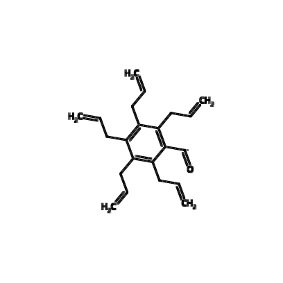 C=CCc1c([C]=O)c(CC=C)c(CC=C)c(CC=C)c1CC=C